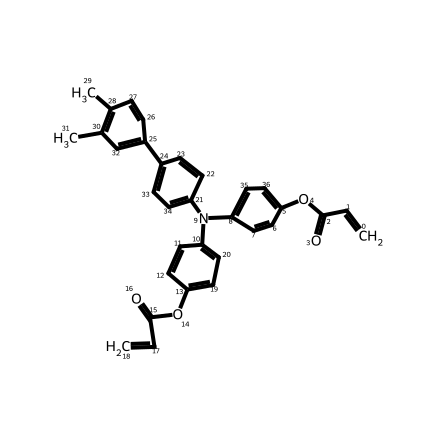 C=CC(=O)Oc1ccc(N(c2ccc(OC(=O)C=C)cc2)c2ccc(-c3ccc(C)c(C)c3)cc2)cc1